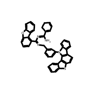 N/C(=N\C(=N/Cc1cccc(-n2c3ccccc3c3ccc4sc5ccccc5c4c32)c1)c1cccc2oc3ccccc3c12)C1=CC=CCC1